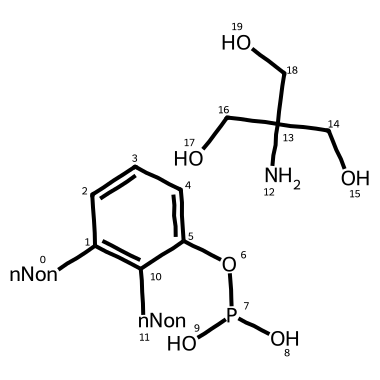 CCCCCCCCCc1cccc(OP(O)O)c1CCCCCCCCC.NC(CO)(CO)CO